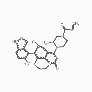 C=CC(=O)N1CCN(c2nc(=O)n3c4c(c(-c5c(C)ccc6[nH]ncc56)c(Cl)cc24)SCC3)[C@@H](C)C1